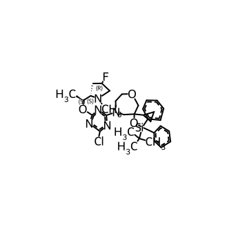 C[C@H](Oc1nc(Cl)nc(N2CCOCC(O[Si](c3ccccc3)(c3ccccc3)C(C)(C)C)(C3CC3)C2)n1)[C@@H]1C[C@@H](F)CN1C